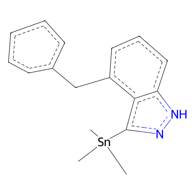 [CH3][Sn]([CH3])([CH3])[c]1n[nH]c2cccc(Cc3ccccc3)c12